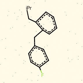 CC(C)Cc1ccccc1Cc1ccc(F)cc1